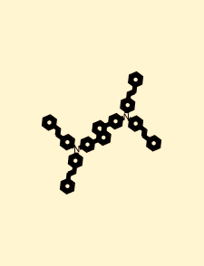 C(=Cc1ccc(N(c2ccc(C=Cc3ccccc3)cc2)c2ccc(-c3cccc4c(-c5ccc(N(c6ccc(C=Cc7ccccc7)cc6)c6ccc(C=Cc7ccccc7)cc6)cc5)cccc34)cc2)cc1)c1ccccc1